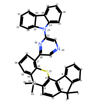 CC1(C)c2ccccc2-c2c1ccc1c2Sc2c(-c3cncc(-n4c5ccccc5c5ccccc54)n3)cccc2[Si]1(C)C